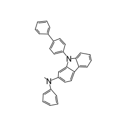 CN(c1ccccc1)c1ccc2c3ccccc3n(-c3ccc(-c4ccccc4)cc3)c2c1